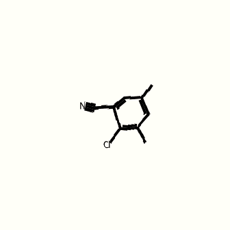 Cc1cc(C)c(Cl)c(C#N)c1